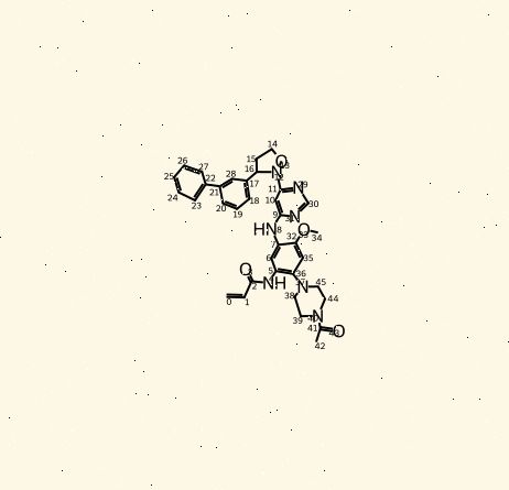 C=CC(=O)Nc1cc(Nc2cc(N3OCCC3c3cccc(-c4ccccc4)c3)ncn2)c(OC)cc1N1CCN(C(C)=O)CC1